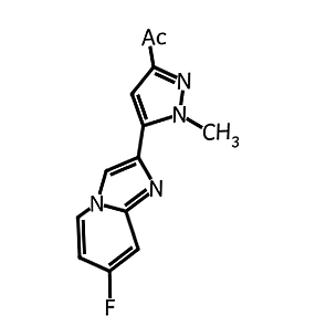 CC(=O)c1cc(-c2cn3ccc(F)cc3n2)n(C)n1